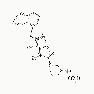 CCn1c(N2CCCC(NC(=O)O)C2)nc2cnn(Cc3cccc4ccccc34)c(=O)c21